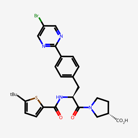 CC(C)(C)c1ccc(C(=O)N[C@@H](Cc2ccc(-c3ncc(Br)cn3)cc2)C(=O)N2CC[C@H](C(=O)O)C2)s1